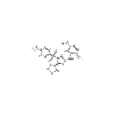 COc1cnc(C)c(Nc2cc([C@H]3C[CH]CC3)n(S(=O)(=O)c3ccc(C)cc3)n2)n1